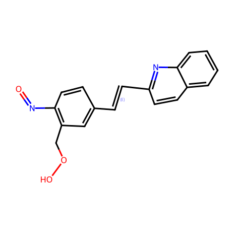 O=Nc1ccc(/C=C/c2ccc3ccccc3n2)cc1COO